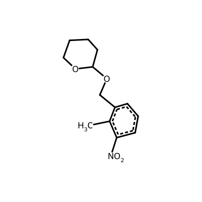 Cc1c(COC2CCCCO2)cccc1[N+](=O)[O-]